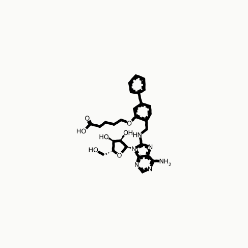 Nc1ncnc2c1nc(NCc1ccc(-c3ccccc3)cc1OCCCCC(=O)O)n2[C@@H]1O[C@H](CO)[C@@H](O)[C@H]1O